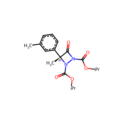 Cc1cccc([C@]2(C)C(=O)N(C(=O)OC(C)C)N2C(=O)OC(C)C)c1